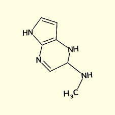 CNC1C=Nc2[nH]ccc2N1